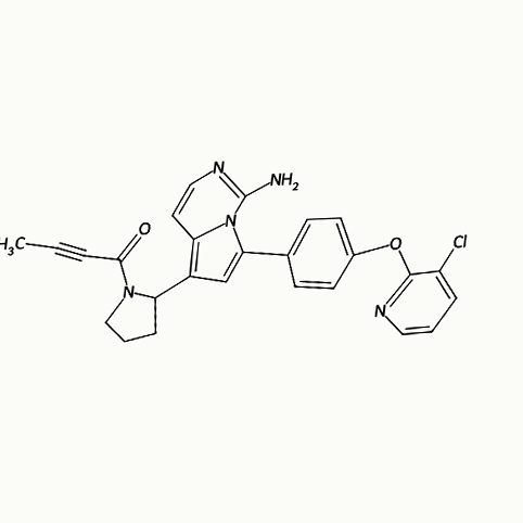 CC#CC(=O)N1CCCC1c1cc(-c2ccc(Oc3ncccc3Cl)cc2)n2c(N)nccc12